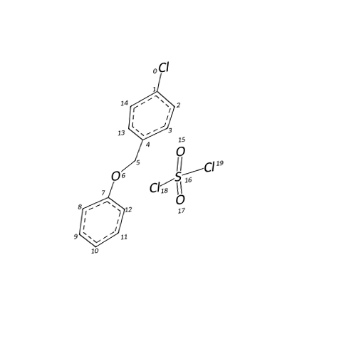 Clc1ccc(COc2ccccc2)cc1.O=S(=O)(Cl)Cl